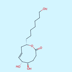 O=C1CC[C@@H](O)[C@H](O)/C=C/C[C@H](CCCCCCCO)O1